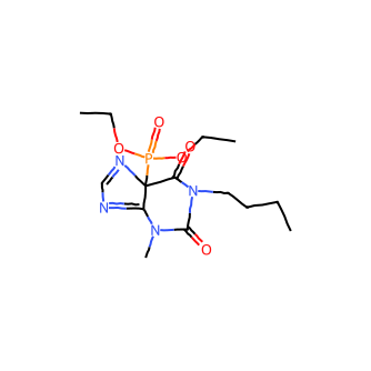 CCCCN1C(=O)N(C)C2=NC=NC2(P(=O)(OCC)OCC)C1=O